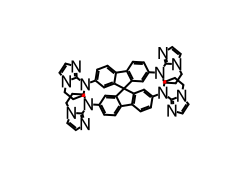 c1cn2c(n1)N(c1ccc3c(c1)C1(c4cc(N5CCCn6ccnc65)ccc4-3)c3cc(N4CCCn5ccnc54)ccc3-c3ccc(N4CCCn5ccnc54)cc31)CCC2